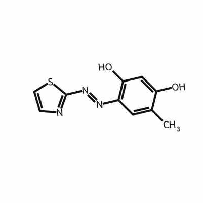 Cc1cc(N=Nc2nccs2)c(O)cc1O